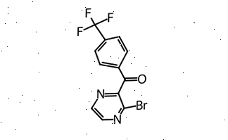 O=C(c1ccc(C(F)(F)F)cc1)c1nccnc1Br